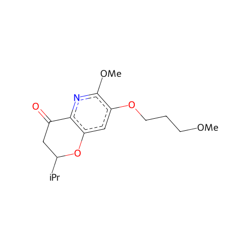 COCCCOc1cc2c(nc1OC)C(=O)CC(C(C)C)O2